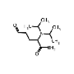 BC(=O)C(CCC=O)N(C(C)C)C(C)C